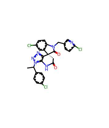 CC(c1ccc(Cl)cc1)n1nnc2c1NC(=O)C[C@]21C(=O)N(Cc2ccc(Cl)nc2)c2ccc(Cl)cc21